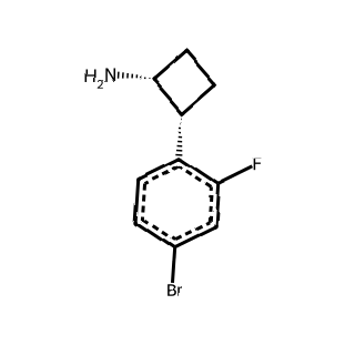 N[C@@H]1CC[C@@H]1c1ccc(Br)cc1F